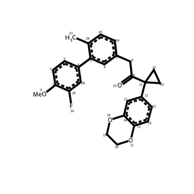 COc1ccc(-c2cc(CC(=O)C3(c4ccc5c(c4)OCCO5)CC3)ccc2C)cc1F